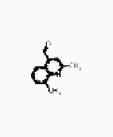 Cc1cc(C=O)c2cccc(C)c2n1